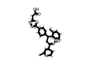 Cc1cc(/C(CC(c2ccc(-c3nnc(CC(=O)O)o3)cc2)c2ccccc2C)=N/O)ccn1